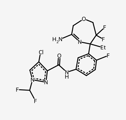 CCC1(c2cc(NC(=O)c3nn(C(F)F)cc3Cl)ccc2F)N=C(N)COCC1(F)F